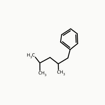 C[C](Cc1ccccc1)CC(C)C